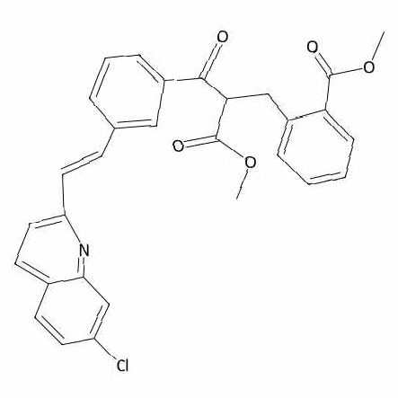 COC(=O)c1ccccc1CC(C(=O)OC)C(=O)c1cccc(C=Cc2ccc3ccc(Cl)cc3n2)c1